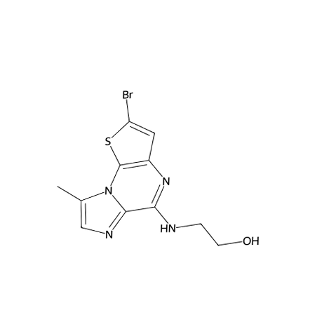 Cc1cnc2c(NCCO)nc3cc(Br)sc3n12